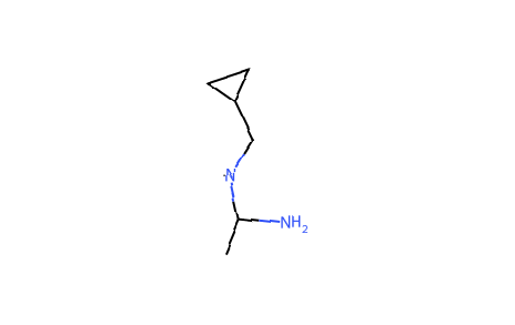 CC(N)[N]CC1CC1